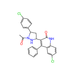 CC(=O)N1NC(c2c(-c3ccccc3)c3cc(Cl)ccc3[nH]c2=O)CC1c1ccc(Cl)cc1